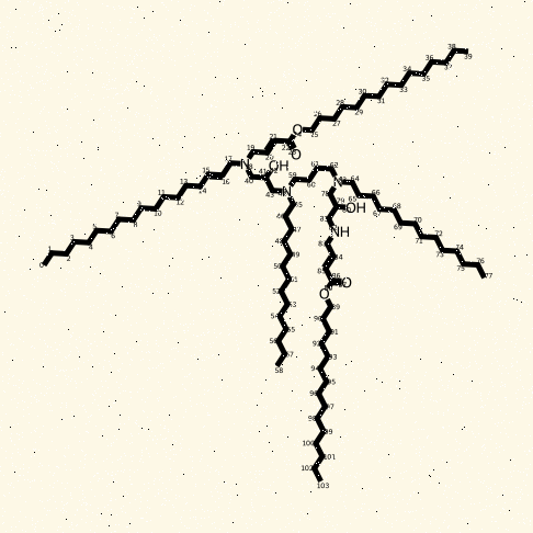 CCCCCCCCCCCCCCC/C=C/CN(C/C=C/C(=O)OCCCCCCCCCCCCCCC)CC(O)CN(CCCCCCCCCCCCCC)CCCCN(CCCCCCCCCCCCCC)CC(O)CNC/C=C/C(=O)OCCCCCCCCCCCCCCC